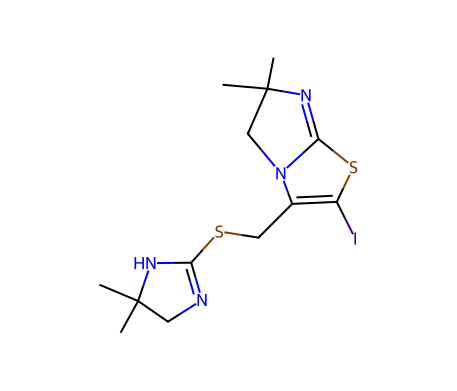 CC1(C)CN2C(=N1)SC(I)=C2CSC1=NCC(C)(C)N1